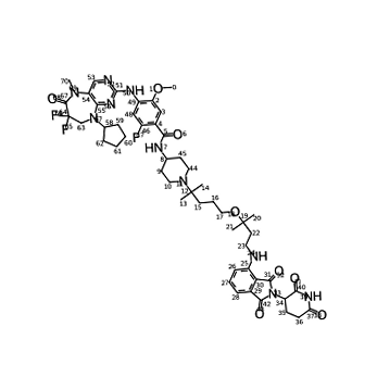 COc1cc(C(=O)NC2CCN(C(C)(C)CCCOC(C)(C)CCNc3cccc4c3C(=O)N(C3CCC(=O)NC3=O)C4=O)CC2)c(F)cc1Nc1ncc2c(n1)N(C1CCCC1)CC(F)(F)C(=O)N2C